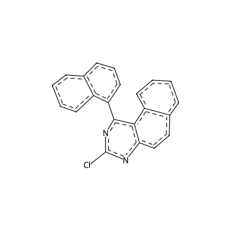 Clc1nc(-c2cccc3ccccc23)c2c(ccc3ccccc32)n1